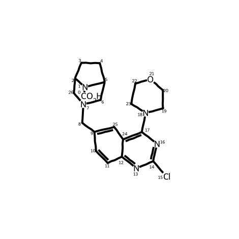 O=C(O)N1C2CCC1CN(Cc1ccc3nc(Cl)nc(N4CCOCC4)c3c1)C2